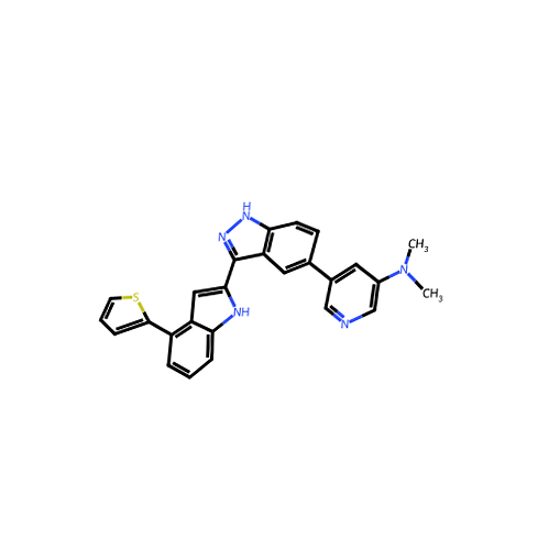 CN(C)c1cncc(-c2ccc3[nH]nc(-c4cc5c(-c6cccs6)cccc5[nH]4)c3c2)c1